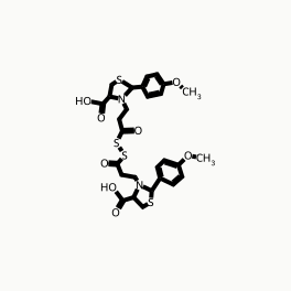 COc1ccc(C2SCC(C(=O)O)N2CCC(=O)SSC(=O)CCN2C(C(=O)O)CSC2c2ccc(OC)cc2)cc1